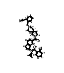 N#Cc1ccccc1CN1CCC2(CC1)CCN(C(=O)c1ccc3c(c1)C(N(C(=O)c1ccccc1Cl)C1CC1)CC3)C2